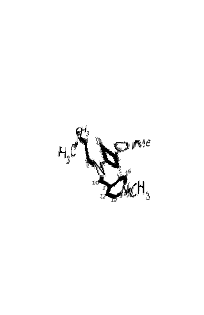 CO[C@H]1C[C@H](N(CCN(C)C)CC2CCN(C)CC2)C1